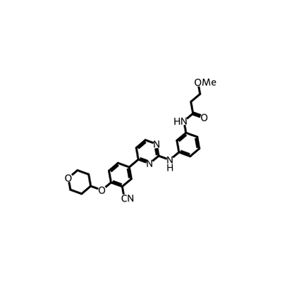 COCCC(=O)Nc1cccc(Nc2nccc(-c3ccc(OC4CCOCC4)c(C#N)c3)n2)c1